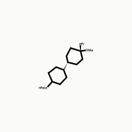 CCCCCC1CCC([C@H]2CC[C@@](CCC)(OC)CC2)CC1